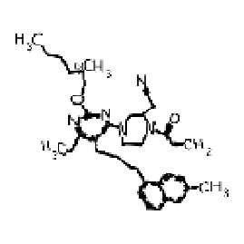 C=CC(=O)N1CCN(c2nc(OC[C@@H](C)CCCC)nc(CC)c2CCCCc2cccc3cc(C)ccc23)CC1CC#N